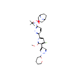 COc1nc(-c2ccc(N(C)C3CC4CCC(C3)N4C(=O)OC(C)(C)C)nn2)cc(F)c1-c1cnn(C2CCCCO2)c1